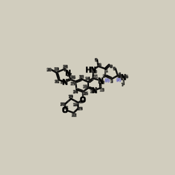 C=C(/C=C\C(C)=N/C)C(C)Nc1ncnc2c(OC3CCOCC3)cc(-c3ncc(C)cn3)cc12